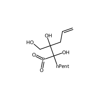 C=CCC(O)(CO)C(O)(CCCCC)P(=O)=O